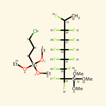 CCO[Si](CCCCl)(OCC)OCC.CO[Si](OC)(OC)C(F)(F)C(F)(F)C(F)(F)C(F)(F)C(F)(F)C(F)(F)C(C)F